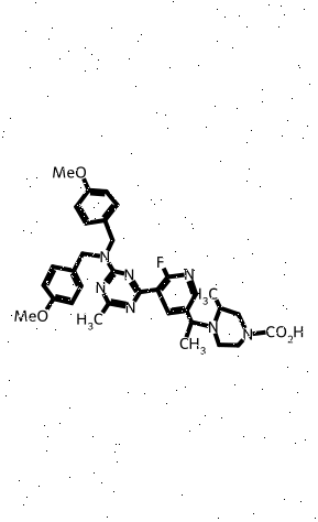 COc1ccc(CN(Cc2ccc(OC)cc2)c2nc(C)nc(-c3cc(C(C)N4CCN(C(=O)O)CC4C)cnc3F)n2)cc1